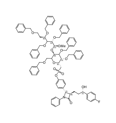 CO[C@@H](O[C@@H]1C(COCc2ccccc2)O[C@@H](CS(=O)(=O)Oc2ccc([C@@H]3[C@@H](CC[C@H](O)c4ccc(F)cc4)C(=O)N3c3ccccc3)cc2)[C@@H](OCc2ccccc2)C1OCc1ccccc1)[C@@H](OCc1ccccc1)C(OCc1ccccc1)[C@@H](CCOCc1ccccc1)OCc1ccccc1